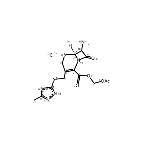 CC(=O)OCOC(=O)C1=C(CSc2nnc(C)s2)CS[C@H]2C(N)C(=O)N12.Cl